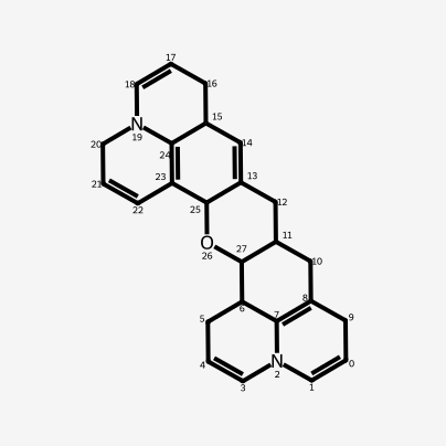 C1=CN2C=CCC3C2=C(C1)CC1CC2=CC4CC=CN5CC=CC(=C45)C2OC13